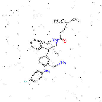 CC(C)CCC(=O)NCC(C)(C)C(c1ccccc1)c1ccc(Nc2ccc(F)cc2)c(C=N)c1